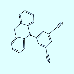 N#Cc1cc(C#N)cc(N2c3ccccc3Cc3ccccc32)c1